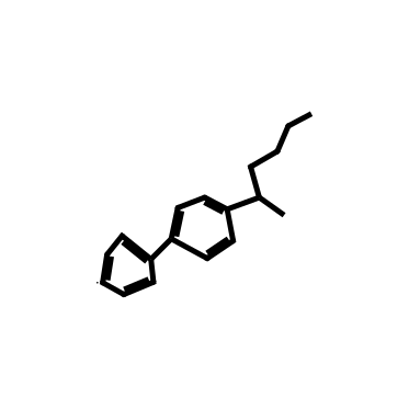 CCCCC(C)c1ccc(-c2cc[c]cc2)cc1